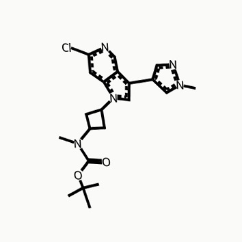 CN(C(=O)OC(C)(C)C)C1CC(n2cc(-c3cnn(C)c3)c3cnc(Cl)cc32)C1